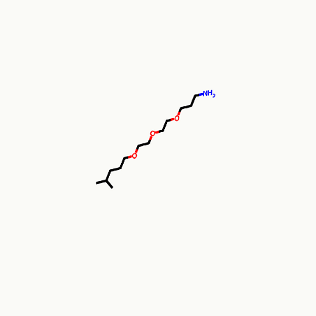 CC(C)CCCOCCOCCOCCCN